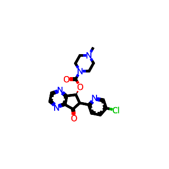 CN1CCN(C(=O)O[C@H]2c3nccnc3C(=O)C2c2ccc(Cl)cn2)CC1